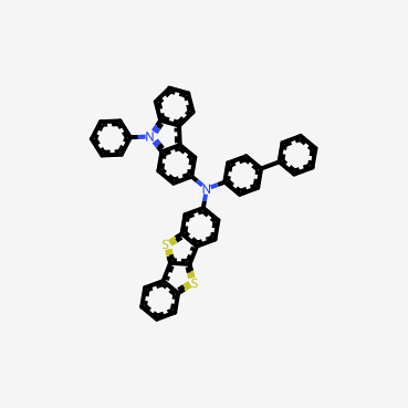 c1ccc(-c2ccc(N(c3ccc4c(c3)sc3c5ccccc5sc43)c3ccc4c(c3)c3ccccc3n4-c3ccccc3)cc2)cc1